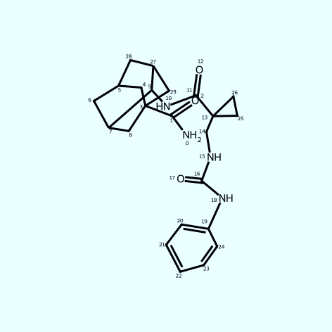 NC(=O)C12CC3CC(C1)C(NC(=O)C1(CNC(=O)Nc4ccccc4)CC1)C(C3)C2